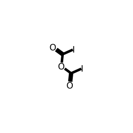 O=C(I)OC(=O)I